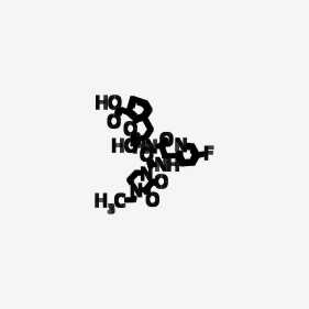 CCN1CCN(C(=O)NC(C(=O)N[C@H]2Cc3cccc(C(=O)O)c3OB2O)c2ccc(F)cn2)C(=O)C1=O